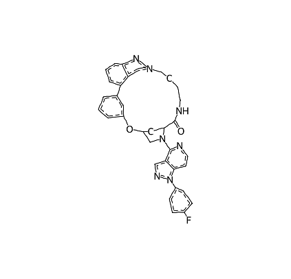 O=C1NCCCCn2cc3c(cccc3n2)-c2cccc(c2)OC2CC1N(c1nccc3c1cnn3-c1ccc(F)cc1)C2